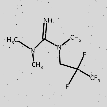 CN(C)C(=N)N(C)CC(F)(F)C(F)(F)F